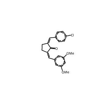 COc1cc(C=C2CCC(=Cc3ccc(Cl)cc3)C2=O)cc(OC)c1